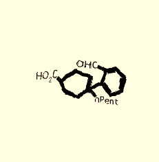 CCCCCC1(c2ccccc2C=O)CCC(C(=O)O)CC1